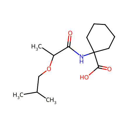 CC(C)COC(C)C(=O)NC1(C(=O)O)CCCCC1